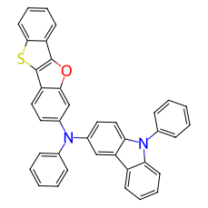 c1ccc(N(c2ccc3c(c2)oc2c4ccccc4sc32)c2ccc3c(c2)c2ccccc2n3-c2ccccc2)cc1